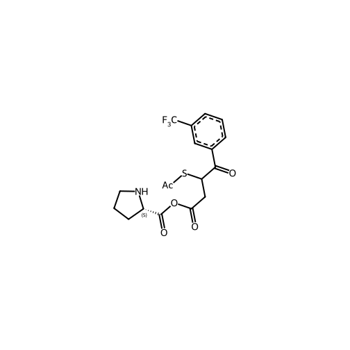 CC(=O)SC(CC(=O)OC(=O)[C@@H]1CCCN1)C(=O)c1cccc(C(F)(F)F)c1